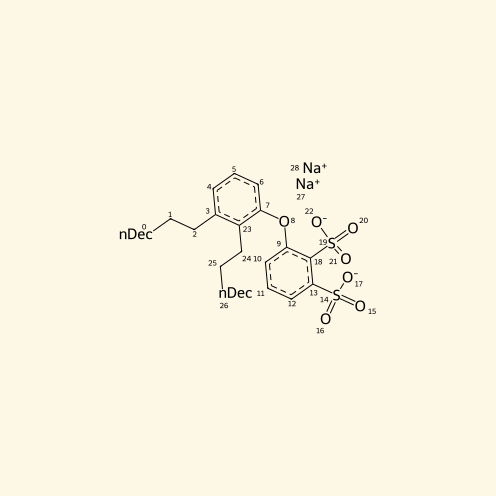 CCCCCCCCCCCCc1cccc(Oc2cccc(S(=O)(=O)[O-])c2S(=O)(=O)[O-])c1CCCCCCCCCCCC.[Na+].[Na+]